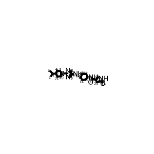 CC(C)C1CCN(c2ncc(NC[C@H]3CC[C@H](NC(=O)C4CNC(=O)C4)CC3)cn2)CC1